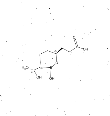 C[C@@H](O)[C@@H]1CC[C@@H](CCC(=O)O)OB1O